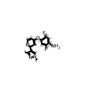 Cc1nn(C)cc1-c1cc(Oc2cc(F)c(N)cc2F)ccn1